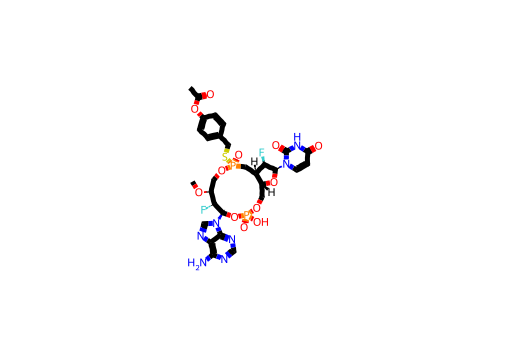 CO[C@@H]1COP(=O)(SCc2ccc(OC(C)=O)cc2)C[C@H]2[C@@H](F)[C@H](n3ccc(=O)[nH]c3=O)O[C@@H]2COP(=O)(O)O[C@@H](n2cnc3c(N)ncnc32)[C@@H]1F